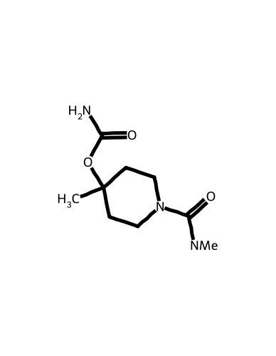 CNC(=O)N1CCC(C)(OC(N)=O)CC1